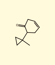 CC1(C2CC=CCC2=O)CC1